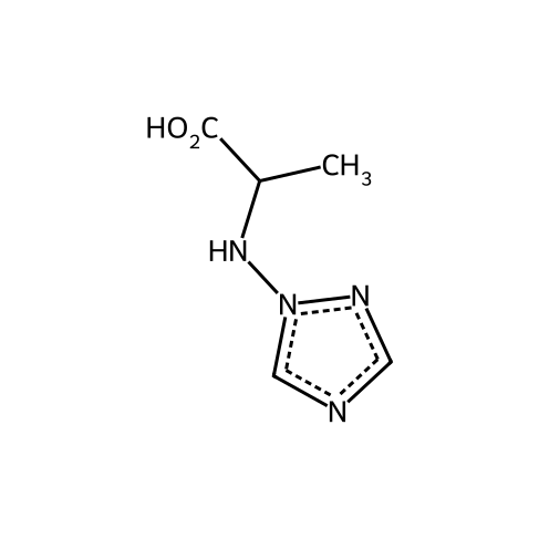 CC(Nn1cncn1)C(=O)O